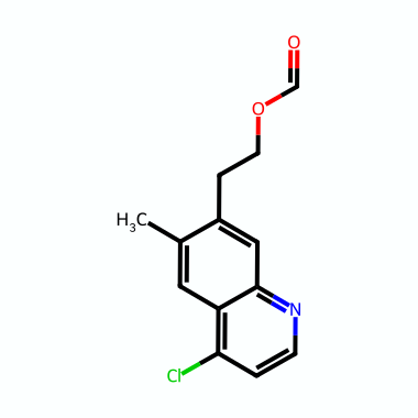 Cc1cc2c(Cl)ccnc2cc1CCOC=O